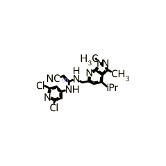 Cc1nn(C)c2nc(CN/C(=C/C#N)Nc3cc(Cl)nc(Cl)c3)cc(C(C)C)c12